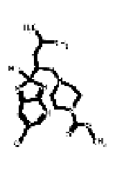 COC(=O)N1CCN(C[C@H](CC(C)C)C2(O)N=c3cc(Cl)cnc3=N2)CC1